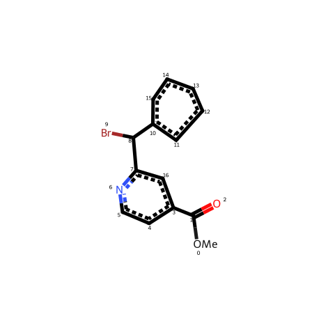 COC(=O)c1ccnc(C(Br)c2ccccc2)c1